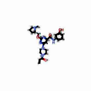 C=CC(=O)N1CCN(c2cc(C(=O)Nc3cccc(O)c3)nc(OC[C@@H]3CCCN3C)n2)CC1